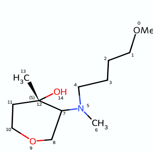 COCCCCN(C)C1COCC[C@]1(C)O